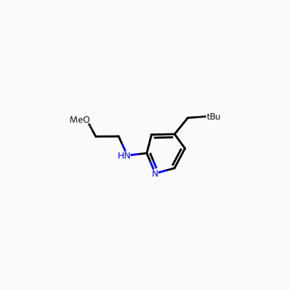 COCCNc1cc(CC(C)(C)C)ccn1